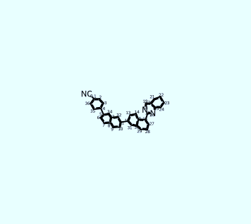 N#Cc1ccc(-c2ccc3ccc(-c4ccc5c(-c6ncc7ccccc7n6)cccc5c4)cc3c2)cc1